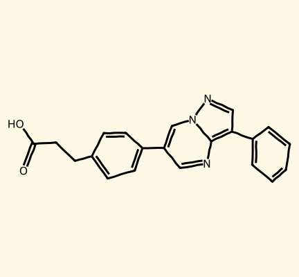 O=C(O)CCc1ccc(-c2cnc3c(-c4ccccc4)cnn3c2)cc1